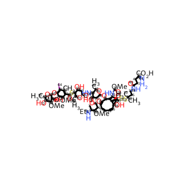 CCN[C@H]1CO[C@@H](O[C@H]2[C@H](O[C@H]3C#CC=CC#C[C@]4(O)CC(=O)C(NC(=O)OC)=C3C4=CCSSC(C)(C)CCNC(=O)CC[C@@H](N)C(=O)O)O[C@H](C)[C@@H](NO[C@H]3C[C@H](O)[C@H](SC(=O)c4c(C)c(I)c(O[C@@H]5O[C@@H](C)[C@H](O)[C@@H](OC)[C@H]5O)c(OC)c4OC)[C@@H](C)O3)[C@@H]2O)C[C@@H]1OC